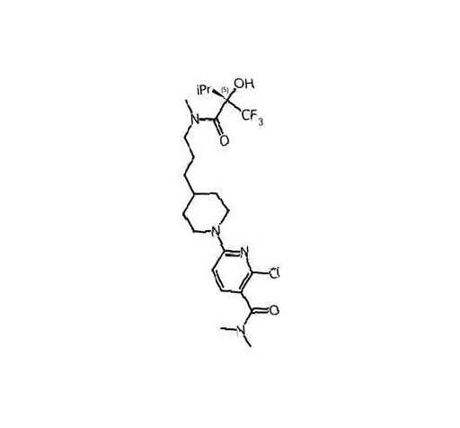 CC(C)[C@](O)(C(=O)N(C)CCCC1CCN(c2ccc(C(=O)N(C)C)c(Cl)n2)CC1)C(F)(F)F